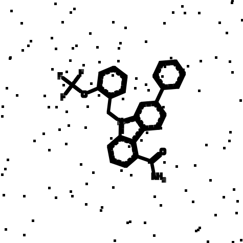 NC(=O)c1cccc2c1c1[c]cc(-c3ccccc3)cc1n2Cc1ccccc1OC(F)(F)F